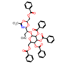 CC(=O)OC[C@@H](CO[C@H](COC(=O)c1ccccc1)OC(=N)C(Cl)(Cl)Cl)O[C@@H]1OC(COC(=O)c2ccccc2)[C@H](OC(=O)c2ccccc2)C(OC(=O)c2ccccc2)C1OC(=O)c1ccccc1